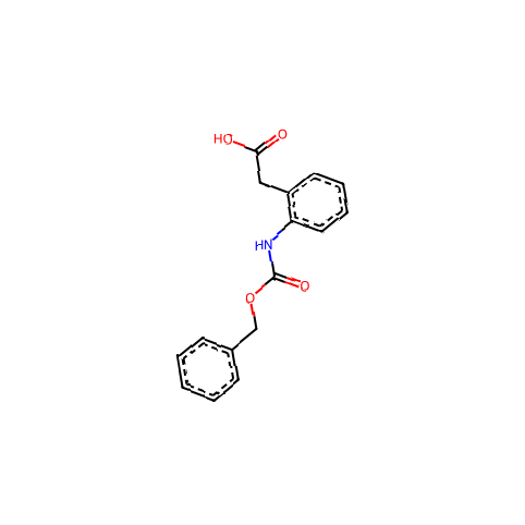 O=C(O)Cc1ccccc1NC(=O)OCc1ccccc1